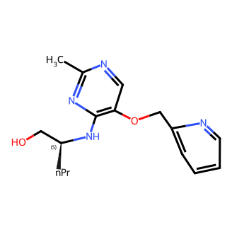 CCC[C@@H](CO)Nc1nc(C)ncc1OCc1ccccn1